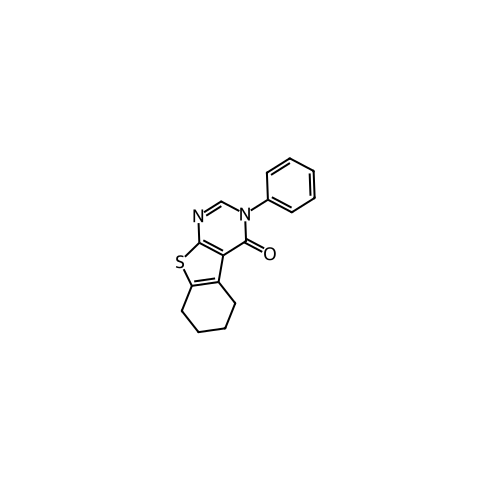 O=c1c2c3c(sc2ncn1-c1ccccc1)CCCC3